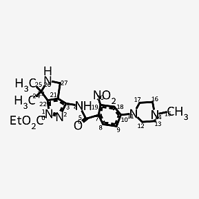 CCOC(=O)n1nc(NC(=O)c2ccc(N3CCN(C)CC3)cc2[N+](=O)[O-])c2c1C(C)(C)NC2